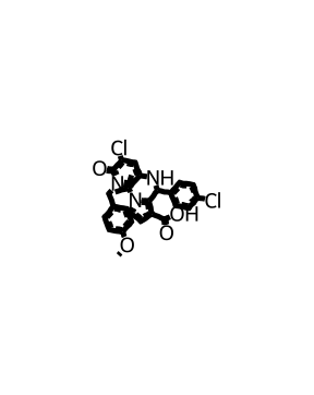 COc1ccc(Cn2cc(NC(c3ccc(Cl)cc3)c3c(C(=O)O)ccn3C(C)C)cc(Cl)c2=O)cc1